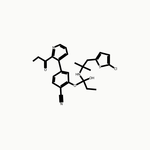 CCC(=O)c1ncccc1-c1ccc(C#N)c(OC(O)(CC)NC(C)(C)Cc2ccc(Cl)s2)c1